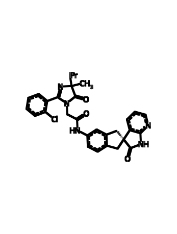 CC(C)C1(C)N=C(c2ccccc2Cl)N(CC(=O)Nc2ccc3c(c2)C[C@@]2(C3)C(=O)Nc3ncccc32)C1=O